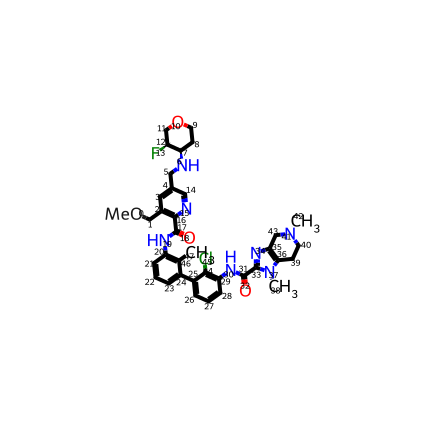 COCc1cc(CN[C@@H]2CCOC[C@@H]2F)cnc1C(=O)Nc1cccc(-c2cccc(NC(=O)c3nc4c(n3C)CCN(C)C4)c2Cl)c1C